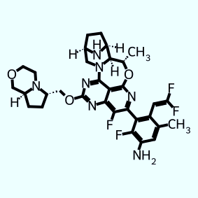 Cc1cc(N)c(F)c(-c2nc3c4c(nc(OC[C@@H]5CC[C@H]6COCCN65)nc4c2F)N2C[C@H]4CC[C@H](N4)[C@H]2[C@H](C)O3)c1C=C(F)F